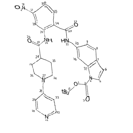 CC(C)(C)OC(=O)n1ccc2ccc(NC(=O)c3ccc([N+](=O)[O-])cc3NC(=O)C3CCN(c4ccncc4)CC3)cc21